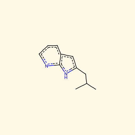 CC(C)Cc1cc2cccnc2[nH]1